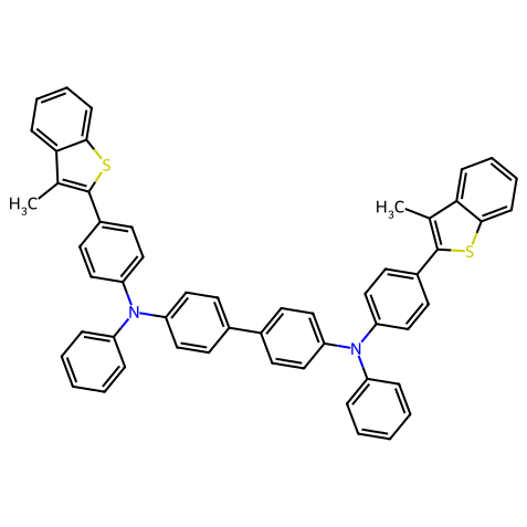 Cc1c(-c2ccc(N(c3ccccc3)c3ccc(-c4ccc(N(c5ccccc5)c5ccc(-c6sc7ccccc7c6C)cc5)cc4)cc3)cc2)sc2ccccc12